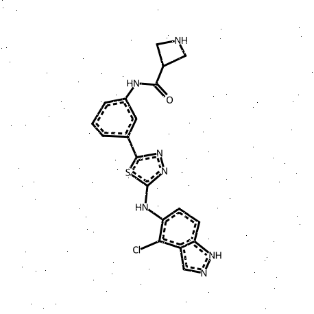 O=C(Nc1cccc(-c2nnc(Nc3ccc4[nH]ncc4c3Cl)s2)c1)C1CNC1